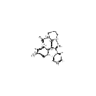 CC(=O)N1CCCn2nc(-c3ccncc3)c(-c3ccc(F)cc3)c21